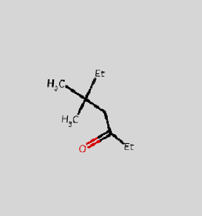 CCC(=O)CC(C)(C)CC